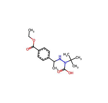 CCOC(=O)c1ccc(C(C)NN(C(=O)O)C(C)(C)C)cc1